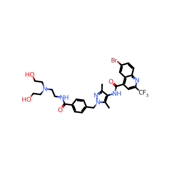 Cc1nn(Cc2ccc(C(=O)NCCN(CCO)CCO)cc2)c(C)c1NC(=O)c1cc(C(F)(F)F)nc2ccc(Br)cc12